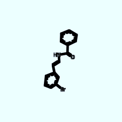 O=C(NC=Cc1cccc(Br)c1)c1ccccc1